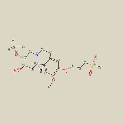 COc1cc2c(cc1OCCCS(C)(=O)=O)CCN1C[C@@H](OC(C)(C)C)[C@H](O)C[C@H]21